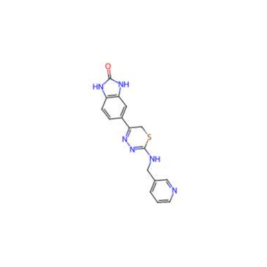 O=c1[nH]c2ccc(C3=NN=C(NCc4cccnc4)SC3)cc2[nH]1